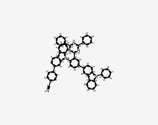 N#Cc1ccc(-c2ccc3c4ccccc4n(-c4ccc(-c5ccc6c(c5)c5ccccc5n6-c5ccccc5)cc4-c4nc(-c5ccccc5)nc(-c5ccccc5)n4)c3c2)cc1